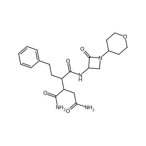 NC(=O)CC(C(N)=O)C(CCc1ccccc1)C(=O)NC1CN(C2CCOCC2)C1=O